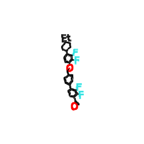 CCC1CCC(c2ccc(OCc3ccc(-c4ccc(C5CO5)c(F)c4F)cc3)c(F)c2F)CC1